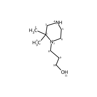 CC1(C)CNCCN1CCCO